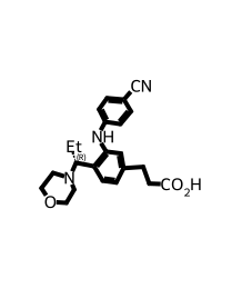 CC[C@H](c1ccc(CCC(=O)O)cc1Nc1ccc(C#N)cc1)N1CCOCC1